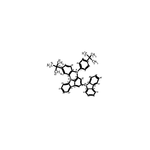 CC(C)(C)c1ccc(N2c3ccc(C(C)(C)C)cc3B3c4ccccc4-c4cc(-n5c6ccccc6c6ccccc65)cc2c43)cc1